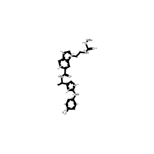 CC(NC(=O)c1cc2c(cn1)ncn2CCNC(=O)OC(C)(C)C)c1cnc(Nc2ccc(C(F)(F)F)cc2)s1